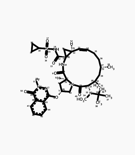 CC(C)n1nc(O[C@@H]2C[C@H]3C(=O)N[C@]4(C(=O)NS(=O)(=O)C5CC5)C[C@H]4C=CCC[C@H](C)C[C@@H](C)[C@H](N(C(=O)O)C(C)(C)C(F)(F)F)C(=O)N3C2)c2ccccc2c1=O